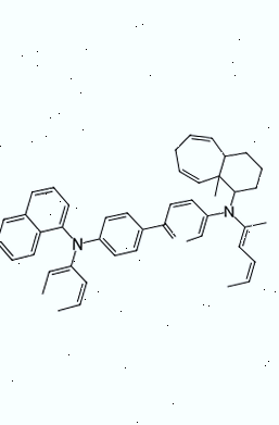 C=C(/C=C\C(=C/C)N(/C(C)=C/C=C\C)C1CCCC2C=CCC=CC21C)c1ccc(N(C(/C=C\C)=C/C)c2cccc3ccccc23)cc1